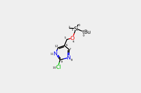 CC(C)(C)[Si](C)(C)OCc1cnc(Cl)nc1